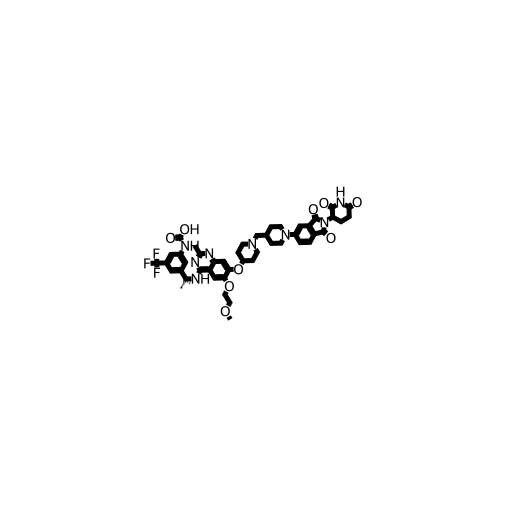 COCCOc1cc2c(N[C@H](C)c3cc(NC(=O)O)cc(C(F)(F)F)c3)nc(C)nc2cc1OC1CCN(CC2CCN(c3ccc4c(c3)C(=O)N(C3CCC(=O)NC3=O)C4=O)CC2)CC1